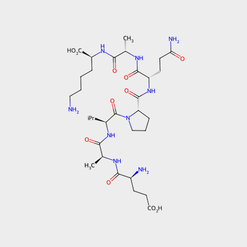 CC(C)[C@H](NC(=O)[C@H](C)NC(=O)[C@@H](N)CCC(=O)O)C(=O)N1CCC[C@H]1C(=O)N[C@@H](CCC(N)=O)C(=O)N[C@@H](C)C(=O)N[C@@H](CCCCN)C(=O)O